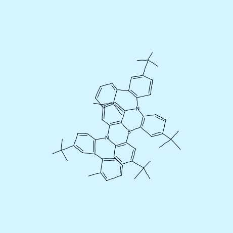 Cc1cc2c3c(c1)N(c1ccc(C(C)(C)C)cc1-c1ccccc1C)c1ccc(C(C)(C)C)cc1B3c1cc(C(C)(C)C)ccc1N2c1ccc(C(C)(C)C)cc1-c1ccccc1C